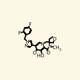 CN1C(=O)c2c(O)c(=O)c(-c3cnn(Cc4ccc(F)cc4F)c3)cn2CC12CCOC2